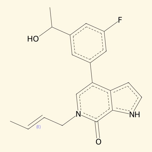 C/C=C/Cn1cc(-c2cc(F)cc(C(C)O)c2)c2cc[nH]c2c1=O